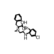 CN(CCNc1cc(Cl)ccc1Br)[C@@H](Cc1ccccc1)C(=O)O